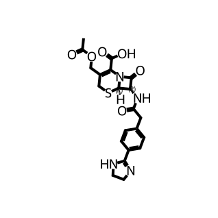 CC(=O)OCC1=C(C(=O)O)N2C(=O)[C@@H](NC(=O)Cc3ccc(C4=NCCN4)cc3)[C@H]2SC1